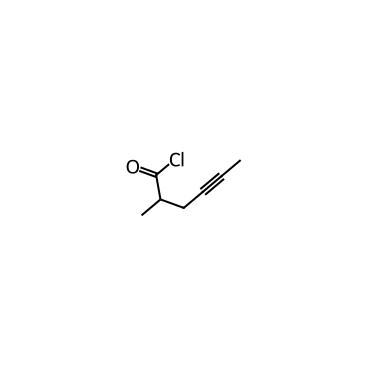 CC#CCC(C)C(=O)Cl